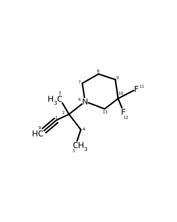 C#CC(C)(CC)N1CCCC(F)(F)C1